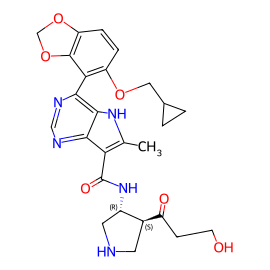 Cc1[nH]c2c(-c3c(OCC4CC4)ccc4c3OCO4)ncnc2c1C(=O)N[C@H]1CNC[C@@H]1C(=O)CCO